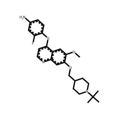 COc1cc2c(Oc3ccc(N)cc3F)ccnc2cc1OCC1CCN(C(C)(C)C)CC1